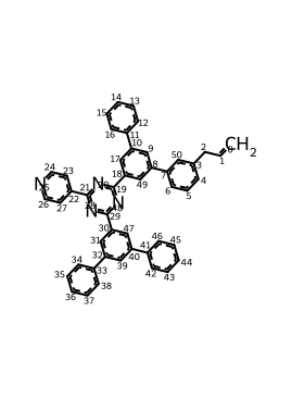 C=CCc1cccc(-c2cc(-c3ccccc3)cc(-c3nc(-c4ccncc4)nc(-c4cc(-c5ccccc5)cc(-c5ccccc5)c4)n3)c2)c1